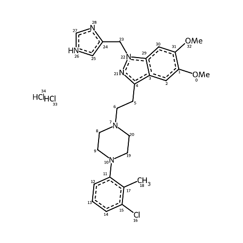 COc1cc2c(CCN3CCN(c4cccc(Cl)c4C)CC3)nn(Cc3c[nH]cn3)c2cc1OC.Cl.Cl